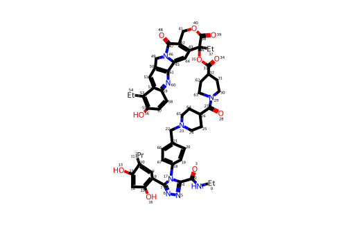 CCNC(=O)c1nnc(-c2cc(C(C)C)c(O)cc2O)n1-c1ccc(CN2CCC(C(=O)N3CCC(C(=O)OC4(CC)C(=O)OCc5c4cc4n(c5=O)Cc5cc6c(CC)c(O)ccc6nc5-4)CC3)CC2)cc1